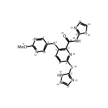 COc1ncc(Sc2ccc(Sc3ncn[nH]3)nc2C(=O)Nc2nccs2)cn1